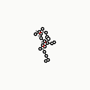 C1=CC2=CC=C(c3cccc(N(c4ccc5oc6ccc(-c7cccc8c7sc7cc(-c9ccccc9N(c9ccc(-c%10ccc(-c%11cccc%12ccccc%11%12)cc%10)cc9)c9ccc(-c%10cccc(-c%11ccc%12ccccc%12c%11)c%10)cc9)ccc78)cc6c5c4)c4ccccc4-c4ccc5c(c4)sc4ccccc45)c3)C=C(C=C1)C2